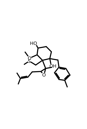 COC1C(O)CCC(O)(Cc2ccc(C)cc2)C1(CSC)C1(C)OC1CC=C(C)C